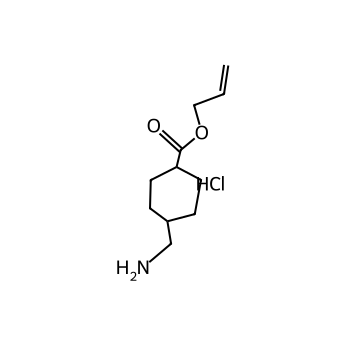 C=CCOC(=O)C1CCC(CN)CC1.Cl